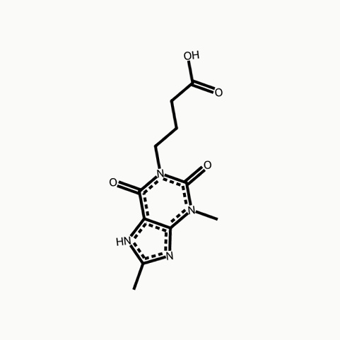 Cc1nc2c([nH]1)c(=O)n(CCCC(=O)O)c(=O)n2C